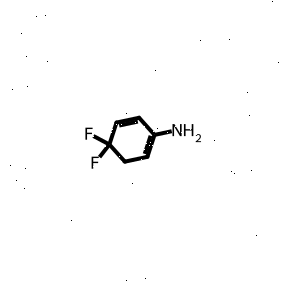 NC1=CCC(F)(F)C=C1